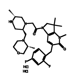 C[C@@H]1CN(CC(=O)N2CC(C)(C)c3c2cc(Cc2ccc(F)cc2F)c(=O)n3C)[C@@H](CN2CCOC[C@H]2C)CN1.Cl.Cl